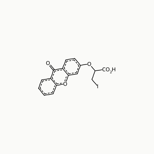 O=C(O)C(CI)Oc1ccc2c(=O)c3ccccc3oc2c1